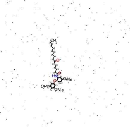 C=CCCCCCCCCC(=O)CCCCCC(=O)Nc1cc(OC)ccc1Oc1cc(C=O)cc(OC)c1